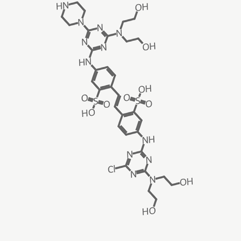 O=S(=O)(O)c1cc(Nc2nc(Cl)nc(N(CCO)CCO)n2)ccc1/C=C/c1ccc(Nc2nc(N(CCO)CCO)nc(N3CCNCC3)n2)cc1S(=O)(=O)O